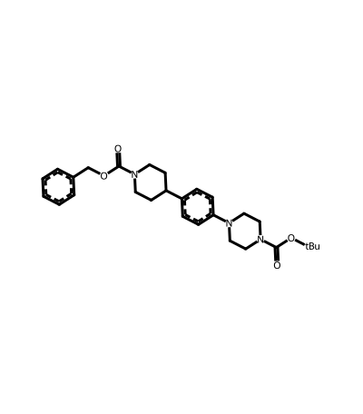 CC(C)(C)OC(=O)N1CCN(c2ccc(C3CCN(C(=O)OCc4ccccc4)CC3)cc2)CC1